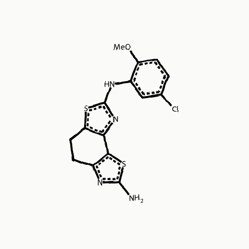 COc1ccc(Cl)cc1Nc1nc2c(s1)CCc1nc(N)sc1-2